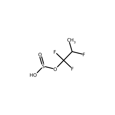 CC(F)C(F)(F)OS(=O)O